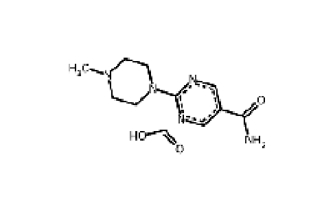 CN1CCN(c2ncc(C(N)=O)cn2)CC1.O=CO